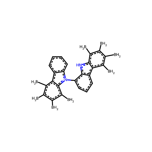 Bc1c(B)c(B)c2c([nH]c3c(-n4c5ccccc5c5c(B)c(B)c(B)c(B)c54)cccc32)c1B